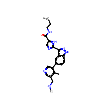 CCNCc1cncc(-c2ccc3[nH]nc(-c4ncc(C(=O)NCCOC)[nH]4)c3c2)c1C